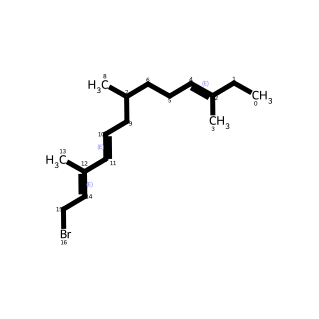 CC/C(C)=C/CCC(C)C/C=C/C(C)=C/CBr